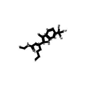 CCCCC(=CC(=O)OCC)c1sc2cc(C(F)(F)F)ccc2c1C